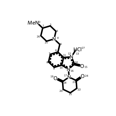 CNC1CCN(Cc2cccc3c2n(C)c(=O)n3N2C(=O)CCCC2=O)CC1.Cl